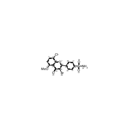 COc1ccc(Cl)c2oc(-c3ccc(S(N)(=O)=O)cc3)c(Br)c(=O)c12